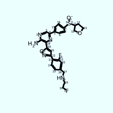 Nc1ncc(-c2ccc([S+]([O-])C3CCOC3)cc2)nc1-c1cc(-c2ccc(CNCCF)cc2F)no1